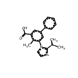 Cc1c(C(=O)O)cc(-c2ccccc2)cc1-n1ccnc1C(C)C